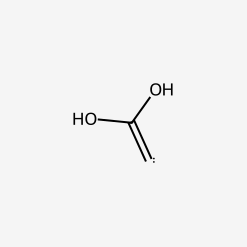 [C]=C(O)O